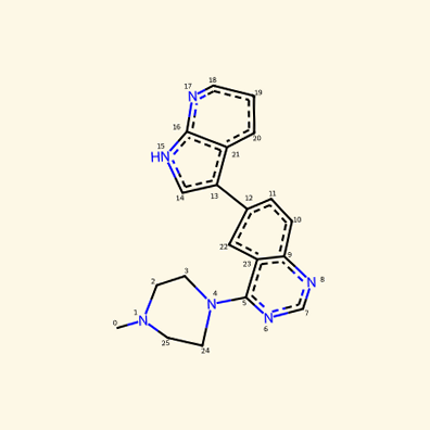 CN1CCN(c2ncnc3ccc(-c4c[nH]c5ncccc45)cc23)CC1